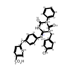 O=C(O)c1ccc(Oc2ccc(/N=c3\[nH]c(=O)n(-c4ccccc4)c(=O)n3Cc3ccc(Cl)cc3)cc2)nc1